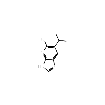 CC(C)c1cc2nc[nH]c2nc1O